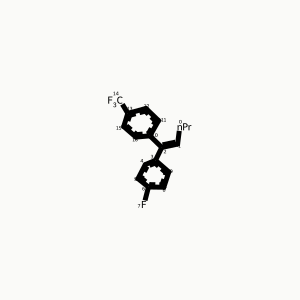 CCC/C=C(/c1ccc(F)cc1)c1ccc(C(F)(F)F)cc1